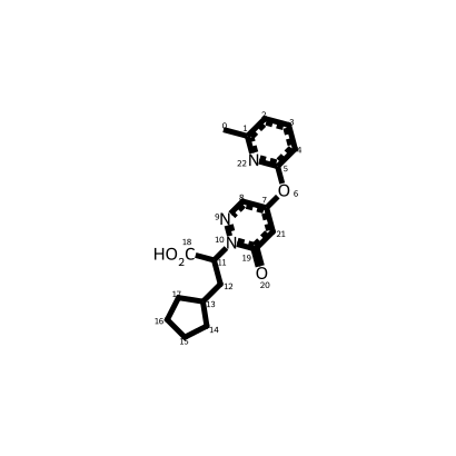 Cc1cccc(Oc2cnn(C(CC3CCCC3)C(=O)O)c(=O)c2)n1